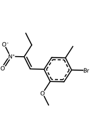 CC/C(=C\c1cc(C)c(Br)cc1OC)[N+](=O)[O-]